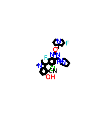 Cc1c(-c2c(Cl)cc3c(N4CC5CCC(C4)N5)nc(OC[C@@]45CCCN4C[C@H](F)C5)nc3c2F)c2c(C#N)c(O)ccc2n1C